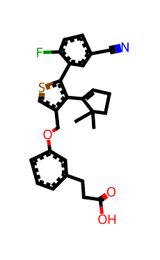 CC1(C)CCC=C1c1c(COc2cccc(CCC(=O)O)c2)csc1-c1cc(C#N)ccc1F